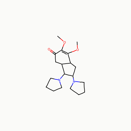 COC1=C(OC)C2CC(N3CCCC3)C(N3CCCC3)C2CC1=O